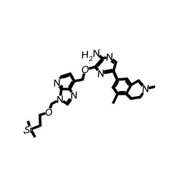 Cc1cc(-c2cnc(N)c(OCc3ccnc4c3ncn4COCC[Si](C)(C)C)n2)cc2c1CCN(C)C2